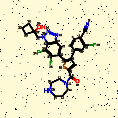 N#Cc1ccc(-c2cc(C(=O)N3CCCNCC3)sc2-c2cc3nnn(CC4(O)CCC4)c3c(F)c2F)cc1F